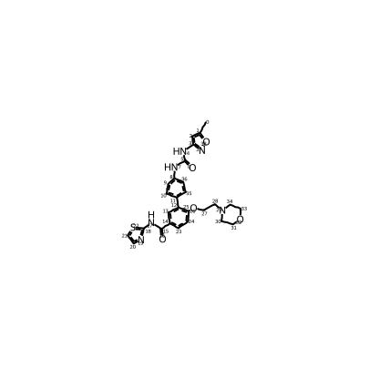 Cc1cc(NC(=O)Nc2ccc(-c3cc(C(=O)Nc4nccs4)ccc3OCCN3CCOCC3)cc2)no1